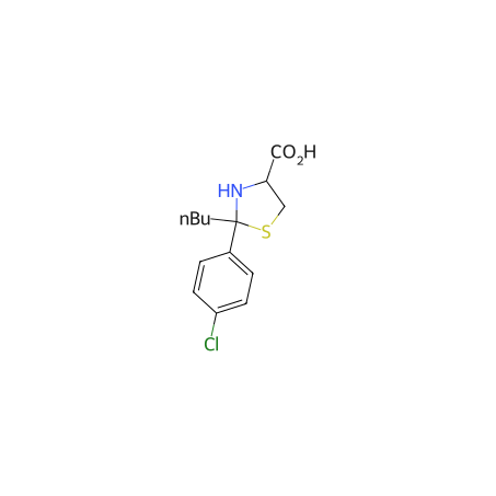 CCCCC1(c2ccc(Cl)cc2)NC(C(=O)O)CS1